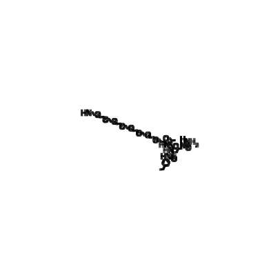 CCc1ccc(NC(=O)[C@H](CCCNC(N)=O)NC(=O)[C@@H](NC(=O)CCOCCOCCOCCOCCOCCOCCOCCOCCNC)C(C)C)cc1